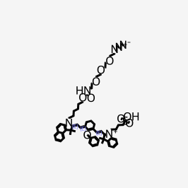 CC1(C)C(/C=C/C2=C(Oc3ccccc3)C(=C/C=C3/N(CCCCCCOC(=O)NCCOCCOCCOCCN=[N+]=[N-])c4ccc5ccccc5c4C3(C)C)/CCC2)=[N+](CCCCS(=O)(=O)O)c2ccccc21